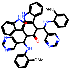 COc1ccccc1NC(c1cncnc1)C(C(=O)C(c1c[nH]c2ccccc12)C(Nc1ccccc1OC)c1cncnc1)c1c[nH]c2ccccc12